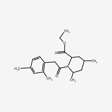 CCOC(=O)C1CC(C)CC(C)N1C(=O)Cc1ccc(C)cc1C